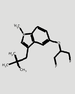 Cn1cc(CC(C)(C)C)c2cc(OC(CF)CF)ccc21